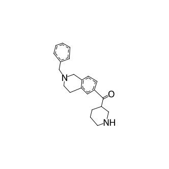 O=C(c1ccc2c(c1)CCN(Cc1ccccc1)C2)C1CCCNC1